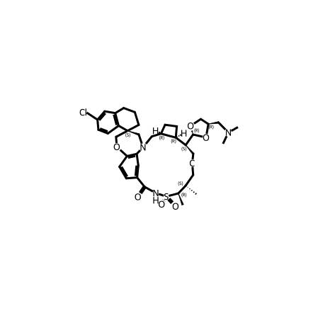 C[C@@H]1[C@@H](C)CCC[C@H]([C@@H]2OC[C@@H](CN(C)C)O2)[C@@H]2CC[C@H]2CN2C[C@@]3(CCCc4cc(Cl)ccc43)COc3ccc(cc32)C(=O)NS1(=O)=O